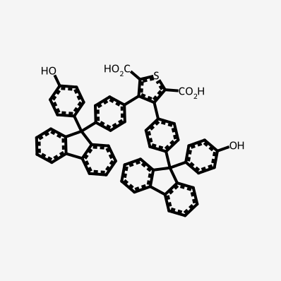 O=C(O)c1sc(C(=O)O)c(-c2ccc(C3(c4ccc(O)cc4)c4ccccc4-c4ccccc43)cc2)c1-c1ccc(C2(c3ccc(O)cc3)c3ccccc3-c3ccccc32)cc1